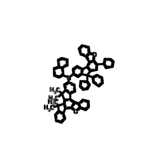 CC1(C)c2ccccc2-c2c1c1c(c3c2oc2ccccc23)-c2ccc(N(c3ccc4c(c3)C(c3ccccc3)(c3ccccc3)c3cc(-c5ccccc5)c5oc6ccccc6c5c3-4)c3cccc4ccccc34)cc2C1(C)C